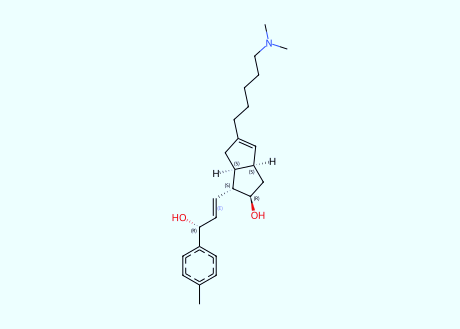 Cc1ccc([C@H](O)/C=C/[C@@H]2[C@H]3CC(CCCCCN(C)C)=C[C@H]3C[C@H]2O)cc1